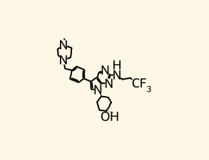 CN1CCN(Cc2ccc(-c3cn([C@H]4CC[C@](C)(O)CC4)c4nc(NCCC(F)(F)F)ncc34)cc2)CC1